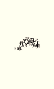 OCc1ccnc(-c2ccc(Oc3ccc(F)cc3)cc2)c1